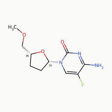 COC[C@H]1CC[C@@H](n2cc(F)c(N)nc2=O)O1